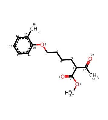 COC(=O)C(CCCCOc1ccccc1C)C(C)=O